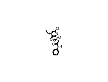 CCn1cc(Cl)nc(S(=O)(=O)CC(=O)Nc2ccccc2)c1=O